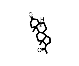 CC(=O)C1CCC2C3CC[C@H]4CC(=O)CCC4(C)C3CCC12C